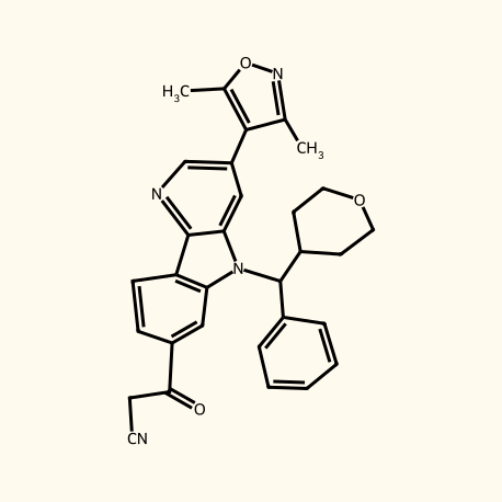 Cc1noc(C)c1-c1cnc2c3ccc(C(=O)CC#N)cc3n(C(c3ccccc3)C3CCOCC3)c2c1